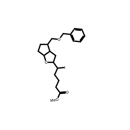 COC(=O)CCCC(I)C1CC2C(COCc3ccccc3)CCC2O1